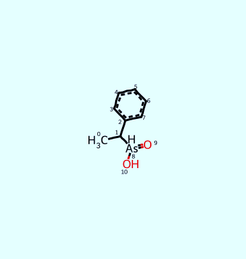 CC(c1ccccc1)[AsH](=O)O